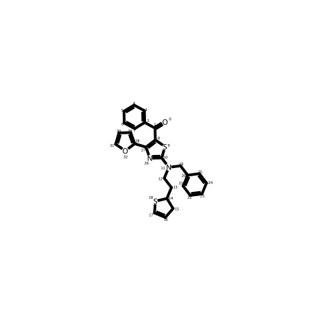 O=C(c1ccccc1)c1sc(N(CCC2CC=CS2)Cc2ccccc2)nc1-c1ccco1